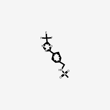 CS(=O)(=O)NCc1ccc(-c2nnc(C(F)(F)F)o2)cc1